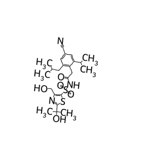 CC(C)Cc1cc(C#N)cc(C(C)C)c1CC(=O)NS(=O)(=O)c1sc(C(C)(C)O)nc1CO